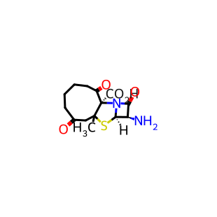 CC12CC(=O)CCCCC(=O)[C@@]1(C(=O)O)N1C(=O)[C@@H](N)[C@H]1S2